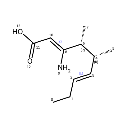 CC/C=C/[C@@H](C)[C@@H](C)/C(N)=C/C(=O)O